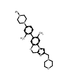 Cc1cc(N2CCN(C(C)C)CC2)ccc1-c1cc2c(cc1C)-n1cc(CN3CCOCC3)nc1CO2